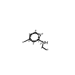 CCNc1cc(C)ccn1